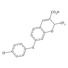 O=C(O)C1=Cc2ccc(Sc3ccc(Cl)cc3)cc2OC1C(F)(F)F